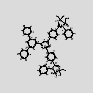 CC1(C)N=C(c2ccc(-c3cc(-c4cc(-c5ccccc5)cc(-c5ccccc5)c4)nc(-c4ccc(C5=NC(C)(C)C(C)(C)N5c5ccccc5)cc4)n3)cc2)N(c2ccccc2)C1(C)C